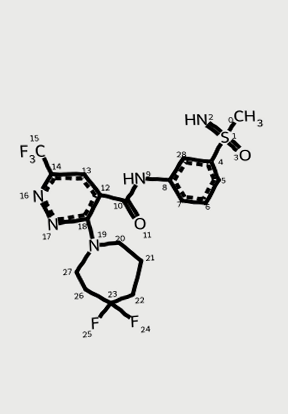 CS(=N)(=O)c1cccc(NC(=O)c2cc(C(F)(F)F)nnc2N2CCCC(F)(F)CC2)c1